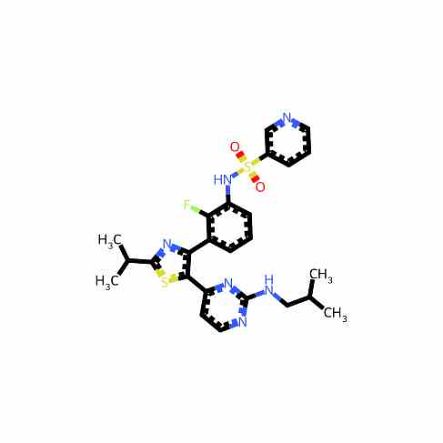 CC(C)CNc1nccc(-c2sc(C(C)C)nc2-c2cccc(NS(=O)(=O)c3cccnc3)c2F)n1